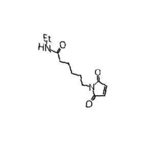 CCNC(=O)CCCCCN1C(=O)C=CC1=O